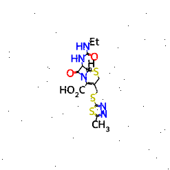 CCNC(=O)NC1C(=O)N2C(C(=O)O)=C(CSc3nnc(C)s3)CS[C@@H]12